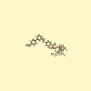 CC1(C)CC(NC(=O)c2ccc(COc3cccc(-c4ccc(O)cc4)c3)cc2)CC(C)(C)N1